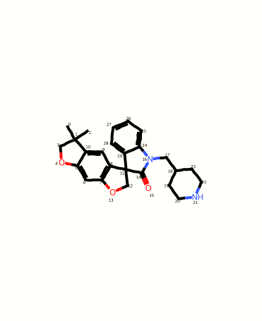 CC1(C)COc2cc3c(cc21)C1(CO3)C(=O)N(CC2CCNCC2)c2ccccc21